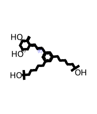 C=C1C(=C/C=C/c2cc(CCCCCC(C)(C)O)cc(CCCCCC(C)(C)O)c2)C[C@@H](O)C[C@@H]1O